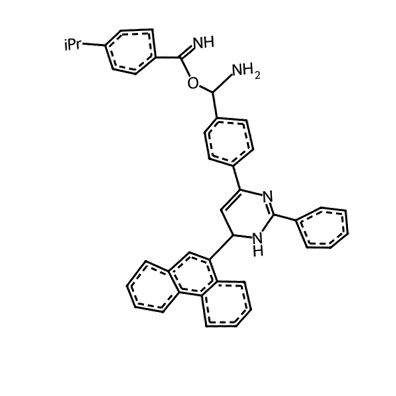 CC(C)c1ccc(C(=N)OC(N)c2ccc(C3=CC(c4cc5ccccc5c5ccccc45)NC(c4ccccc4)=N3)cc2)cc1